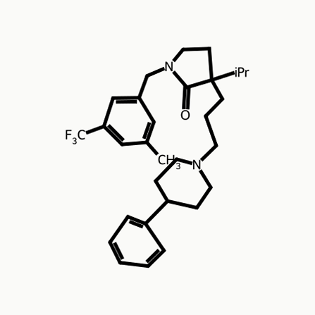 Cc1cc(CN2CCC(CCCN3CCC(c4ccccc4)CC3)(C(C)C)C2=O)cc(C(F)(F)F)c1